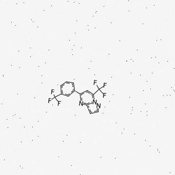 FC(F)(F)c1cccc(-c2cc(C(F)(F)F)n3nccc3n2)c1